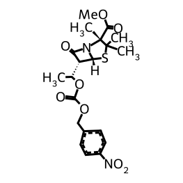 COC(=O)[C@@]1(C)N2C(=O)[C@@H](C(C)OC(=O)OCc3ccc([N+](=O)[O-])cc3)[C@H]2SC1(C)C